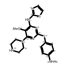 COc1c(Nc2nccs2)nc(Sc2ccc(NC(C)=O)cc2)nc1N1CCNCC1